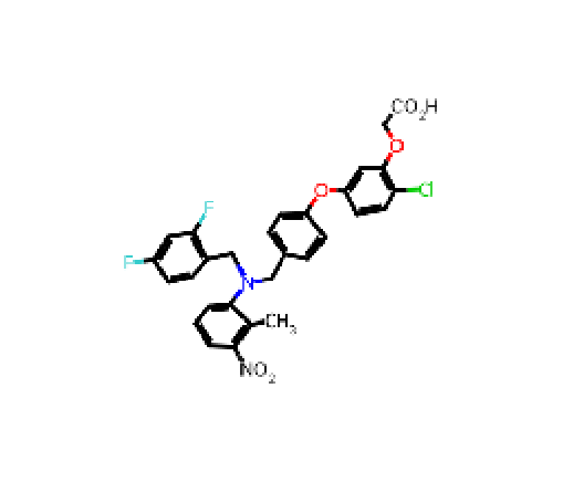 Cc1c(N(Cc2ccc(Oc3ccc(Cl)c(OCC(=O)O)c3)cc2)Cc2ccc(F)cc2F)cccc1[N+](=O)[O-]